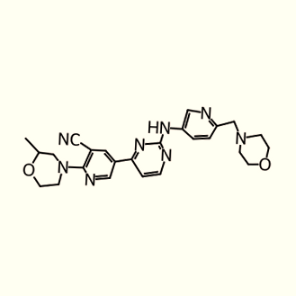 CC1CN(c2ncc(-c3ccnc(Nc4ccc(CN5CCOCC5)nc4)n3)cc2C#N)CCO1